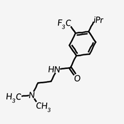 CC(C)c1ccc(C(=O)NCCN(C)C)cc1C(F)(F)F